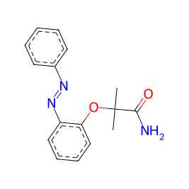 CC(C)(Oc1ccccc1/N=N/c1ccccc1)C(N)=O